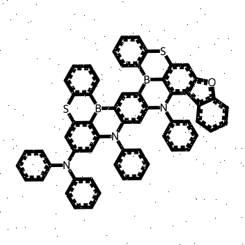 c1ccc(N(c2ccccc2)c2cc3c4c(c2)N(c2ccccc2)c2cc5c(cc2B4c2ccccc2S3)B2c3ccccc3Sc3cc4oc6ccccc6c4c(c32)N5c2ccccc2)cc1